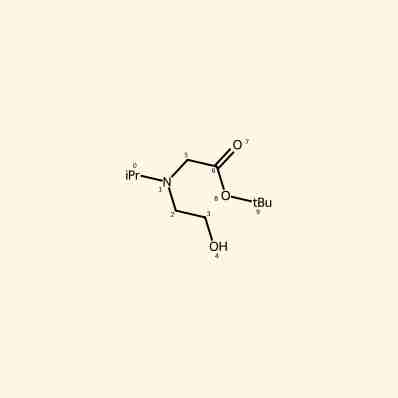 CC(C)N(CCO)CC(=O)OC(C)(C)C